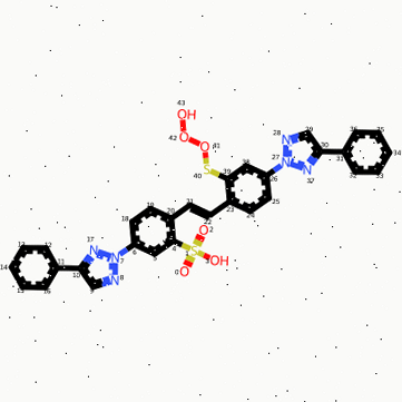 O=S(=O)(O)c1cc(-n2ncc(-c3ccccc3)n2)ccc1/C=C/c1ccc(-n2ncc(-c3ccccc3)n2)cc1SOOO